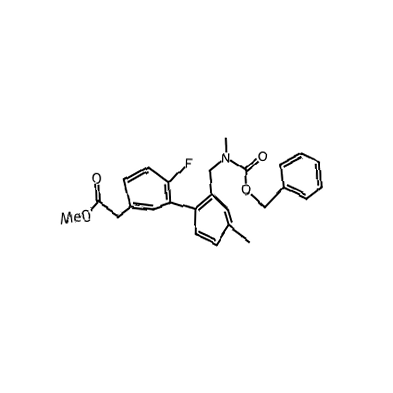 COC(=O)Cc1ccc(F)c(-c2ccc(C)cc2CN(C)C(=O)OCc2ccccc2)c1